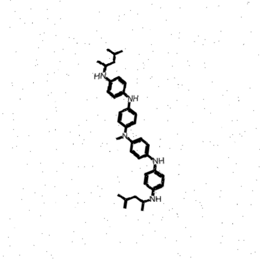 CC(C)CC(C)Nc1ccc(Nc2ccc(N(C)c3ccc(Nc4ccc(NC(C)CC(C)C)cc4)cc3)cc2)cc1